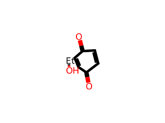 CCO.O=C1C=CC(=O)C=C1